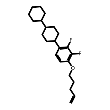 C=CCCCOc1ccc(C2CCC(C3CCCCC3)CC2)c(F)c1F